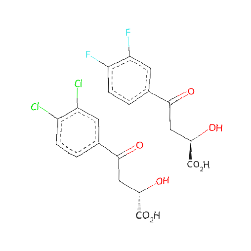 O=C(C[C@@H](O)C(=O)O)c1ccc(F)c(F)c1.O=C(C[C@H](O)C(=O)O)c1ccc(Cl)c(Cl)c1